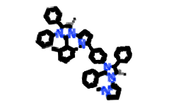 Cc1cccc(C)c1C1N(c2ccccc2)C(c2ccccc2)[C@H](C)N1c1ccc(-c2ccc(N3C(c4ccccc4)[C@H](C)N(c4cccn4C)C3c3ccccc3)cc2)n1C